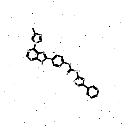 Cc1cn(-c2ncnc3[nH]c(-c4ccc(NC(=O)Nc5cc(-c6cccnc6)no5)cc4)nc23)cn1